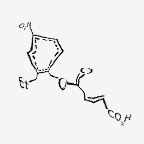 CCc1cc([N+](=O)[O-])ccc1OC(=O)C=CC(=O)O